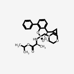 CC(C)OC(=O)[C@H](C)NP(=O)(CN1CCOCC1)Oc1c(-c2ccccc2)cccc1[C@H](C)C1CC1